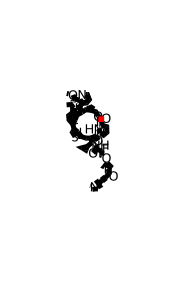 CCn1c(-c2cccnc2[C@H](C)OC)c2c3cc(ccc31)-c1csc(n1)CC(C(NC(=O)C(F)COC1CN(C(=O)C#CC(C)(C)N(C)C)C1)C1CC1)C(=O)N1CCC[C@H](N1)C(=O)OCC(C)(C)C2